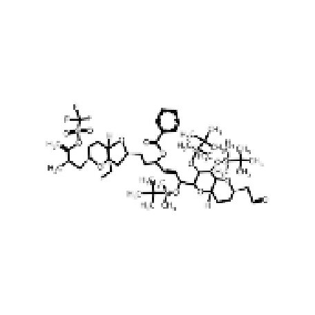 C=C(OS(=O)(=O)C(F)(F)F)[C@H](C)C[C@H]1CC[C@@H]2O[C@@H](CCC(/C=C/C(O[Si](C)(C)C(C)(C)C)C3O[C@H]4CC[C@H](CC=O)OC4[C@H](O[Si](C)(C)C(C)(C)C)[C@@H]3O[Si](C)(C)C(C)(C)C)OC(=O)c3ccccc3)C[C@]2(CI)O1